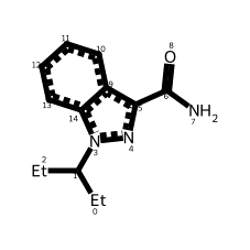 CCC(CC)n1nc(C(N)=O)c2ccccc21